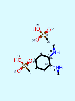 CN[C@@H]1CCCC[C@H]1NC.CS(=O)(=O)O.CS(=O)(=O)O